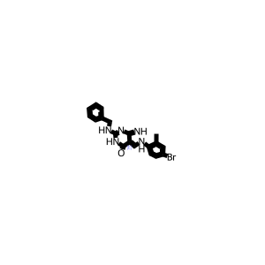 Cc1cc(Br)ccc1N/C=C1\C(=N)N=C(NCc2ccccc2)NC1=O